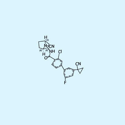 N#CN1[C@H]2CC[C@@H]1[C@H](NC(=O)c1ccc(-c3cc(F)cc(C4(C#N)CC4)c3)cc1Cl)C2